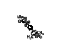 CC(C)(C)OC(=O)CNS(=O)(=O)c1ccc(B2OC(C)(C)C(C)(C)O2)cc1